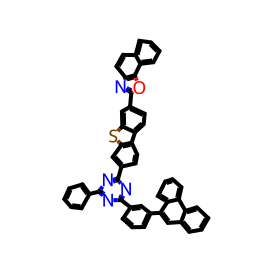 c1ccc(-c2nc(-c3cccc(-c4cc5ccccc5c5ccccc45)c3)nc(-c3ccc4c(c3)sc3cc(-c5nc6ccc7ccccc7c6o5)ccc34)n2)cc1